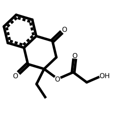 CCC1(OC(=O)CO)CC(=O)c2ccccc2C1=O